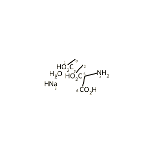 CC(=O)O.CC(=O)O.NCC(=O)O.O.[NaH]